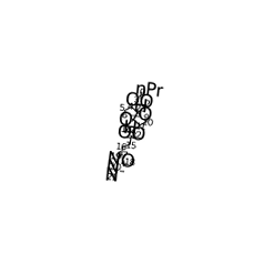 CCCC(=O)O[C@@H]1CO[C@H]2[C@@H]1OC[C@@H]2OC(=O)CCC(=O)N=[N+]=[N-]